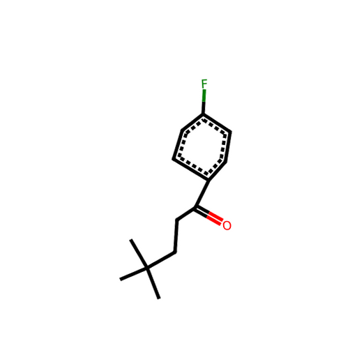 CC(C)(C)CCC(=O)c1ccc(F)cc1